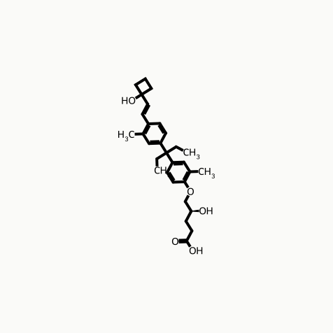 CCC(CC)(c1ccc(/C=C/C2(O)CCC2)c(C)c1)c1ccc(OC[C@@H](O)CCC(=O)O)c(C)c1